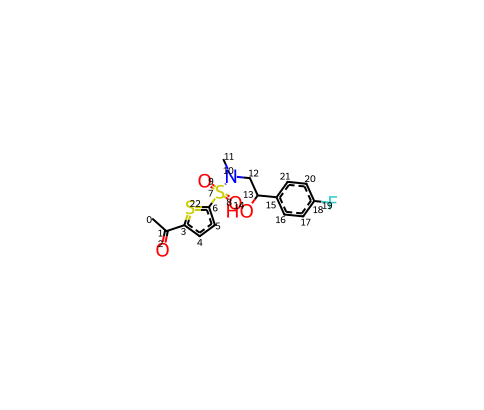 CC(=O)c1ccc(S(=O)(=O)N(C)CC(O)c2ccc(F)cc2)s1